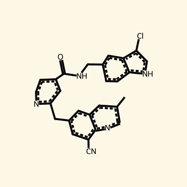 Cc1cnc2c(C#N)cc(Cc3cc(C(=O)NCc4ccc5[nH]cc(Cl)c5c4)ccn3)cc2c1